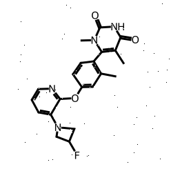 Cc1cc(Oc2ncccc2N2CC(F)C2)ccc1-c1c(C)c(=O)[nH]c(=O)n1C